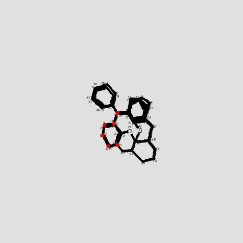 c1ccc(P(c2ccccc2)c2cccc3c2OC24Oc5c(cccc5P(c5ccccc5)c5ccccc5)CC2CCCC4C3)cc1